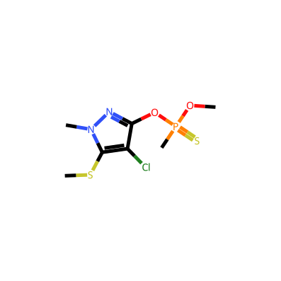 COP(C)(=S)Oc1nn(C)c(SC)c1Cl